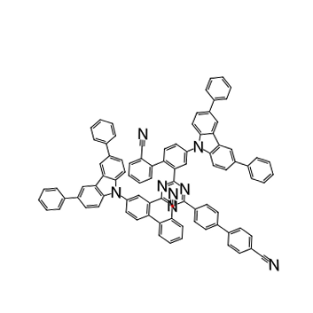 N#Cc1ccc(-c2ccc(-c3nc(-c4cc(-n5c6ccc(-c7ccccc7)cc6c6cc(-c7ccccc7)ccc65)ccc4-c4ccccc4C#N)nc(-c4cc(-n5c6ccc(-c7ccccc7)cc6c6cc(-c7ccccc7)ccc65)ccc4-c4ccccc4C#N)n3)cc2)cc1